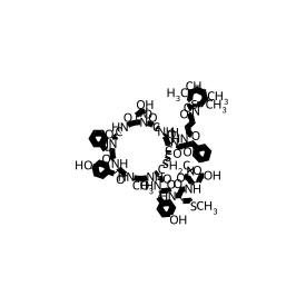 C=NC(=O)[C@H](CC(=O)O)NC(=O)[C@H](CCSC)NC(=O)[C@H](Cc1ccc(O)cc1)NC(=O)[C@H]1CSSC[C@@H](NC(=O)C(O)(Cc2ccccc2)NC(=O)CCC(=O)N=S2(=O)CC(C)(C)C=CC(C)(C)C2)C(=O)NCC(=O)N[C@@H](CC(=O)O)C(=O)NCC(=O)N[C@@H](Cc2ccccc2)C(=O)N[C@@H](Cc2ccc(O)cc2)C(=O)N[C@@H](C)C(=O)N1